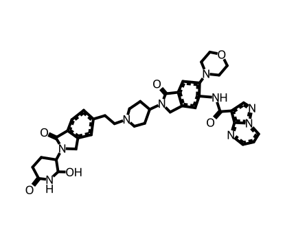 O=C1CCC(N2Cc3cc(CCN4CCC(N5Cc6cc(NC(=O)c7cnn8cccnc78)c(N7CCOCC7)cc6C5=O)CC4)ccc3C2=O)C(O)N1